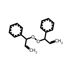 C=CC(OOC(C=C)c1ccccc1)c1ccccc1